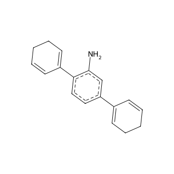 Nc1cc(C2=CCCC=C2)ccc1C1=CCCC=C1